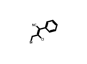 N#CC(=C(Cl)CBr)c1ccccc1